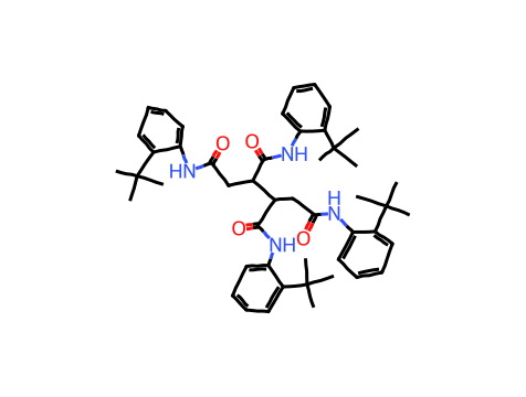 CC(C)(C)c1ccccc1NC(=O)CC(C(=O)Nc1ccccc1C(C)(C)C)C(CC(=O)Nc1ccccc1C(C)(C)C)C(=O)Nc1ccccc1C(C)(C)C